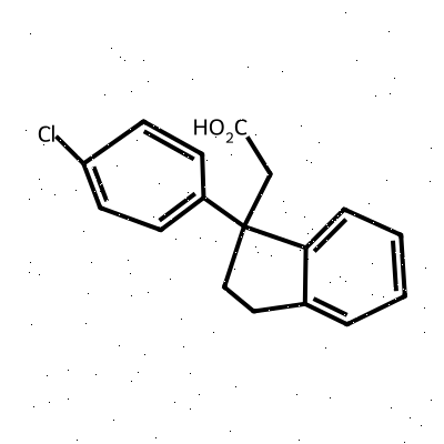 O=C(O)CC1(c2ccc(Cl)cc2)CCc2ccccc21